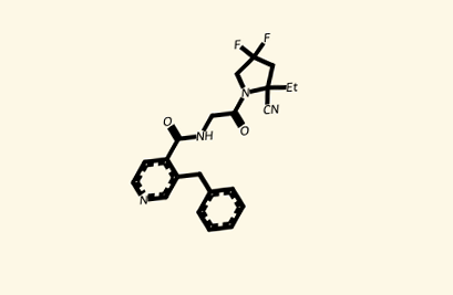 CCC1(C#N)CC(F)(F)CN1C(=O)CNC(=O)c1ccncc1Cc1ccccc1